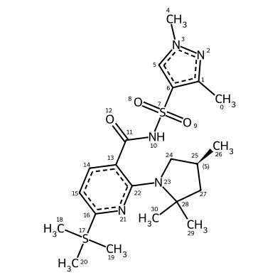 Cc1nn(C)cc1S(=O)(=O)NC(=O)c1ccc(S(C)(C)C)nc1N1C[C@@H](C)CC1(C)C